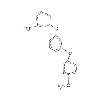 Oc1cccc(Oc2cccc(Oc3ccc(OC(F)(F)F)cc3)c2)c1